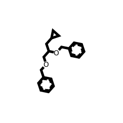 c1ccc(COCC(CC2CC2)OCc2ccccc2)cc1